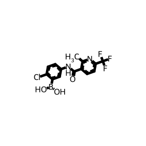 Cc1nc(C(F)(F)F)ccc1C(=O)Nc1ccc(Cl)c(B(O)O)c1